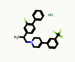 CC(CN1CC=C(c2cccc(C(F)(F)F)c2)CC1)c1ccc(-c2ccccc2)c(F)c1.Cl